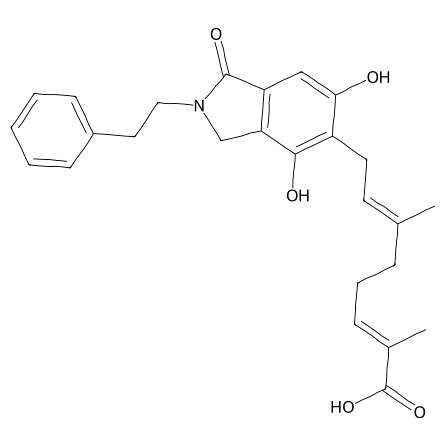 C/C(=C\Cc1c(O)cc2c(c1O)CN(CCc1ccccc1)C2=O)CC/C=C(\C)C(=O)O